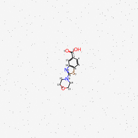 O=C(O)c1ccc2sc(N3CCOCC3)nc2c1